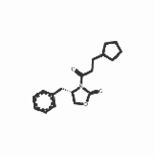 O=C(CCC1CCCC1)N1C(=O)OC[C@@H]1Cc1ccccc1